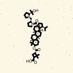 CC(C)[C@@H]1CC[C@]2(C(=O)N3CCC[C@H]3CN3CCC[C@H]3C(C)(C)O)CC[C@]3(C)[C@H](CC[C@]4(C)[C@@]5(C)CC[C@H](OC(=O)[C@H]6CC(C(=O)O)C6(C)C)C(C)(C)[C@]5(C)CC[C@]43C)[C@@]12C